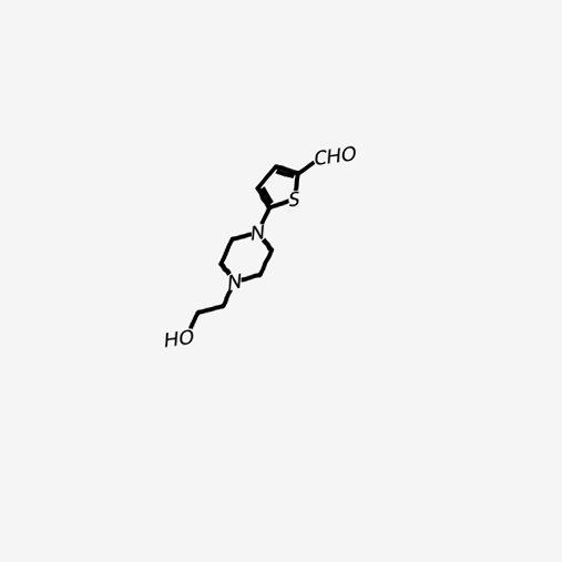 O=Cc1ccc(N2CCN(CCO)CC2)s1